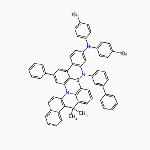 CC(C)(C)c1ccc(N(c2ccc(C(C)(C)C)cc2)c2ccc3c(c2)N(c2cccc(-c4ccccc4)c2)B2c4cccc5c4N(c4cc(-c6ccccc6)cc-3c42)c2ccc3ccccc3c2C5(C)C)cc1